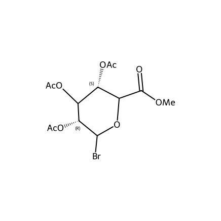 COC(=O)C1OC(Br)[C@H](OC(C)=O)C(OC(C)=O)[C@@H]1OC(C)=O